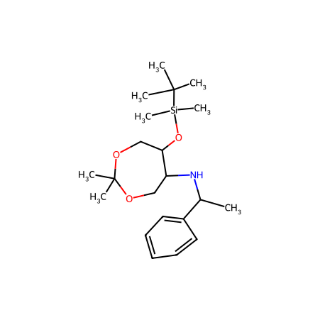 CC(NC1COC(C)(C)OCC1O[Si](C)(C)C(C)(C)C)c1ccccc1